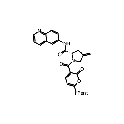 C=C1C[C@@H](C(=O)Nc2ccc3ncccc3c2)N(C(=O)c2ccc(CCCCC)oc2=O)C1